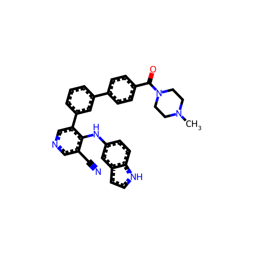 CN1CCN(C(=O)c2ccc(-c3cccc(-c4cncc(C#N)c4Nc4ccc5[nH]ccc5c4)c3)cc2)CC1